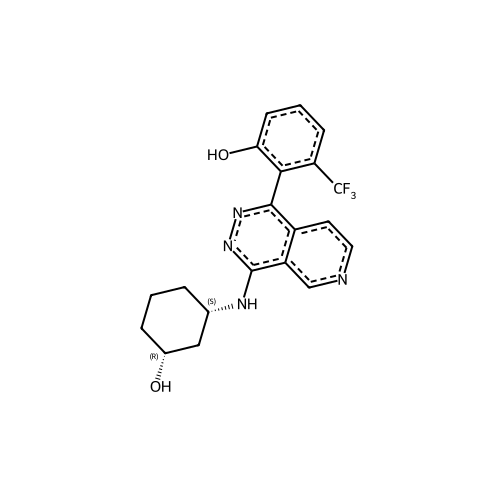 Oc1cccc(C(F)(F)F)c1-c1nnc(N[C@H]2CCC[C@@H](O)C2)c2cnccc12